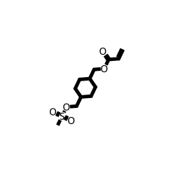 C=CC(=O)OCC1CCC(COS(C)(=O)=O)CC1